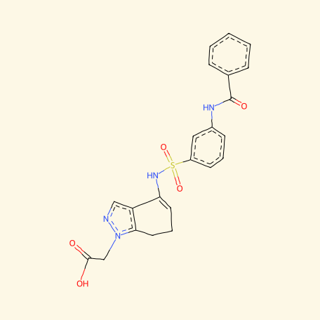 O=C(O)Cn1ncc2c1CCC=C2NS(=O)(=O)c1cccc(NC(=O)c2ccccc2)c1